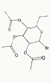 CCC1OC(Br)C(OC(C)=O)C(OC(C)=O)C1OC(C)=O